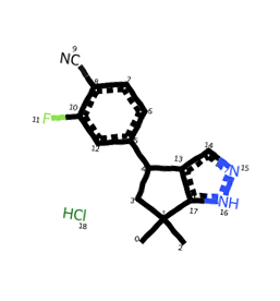 CC1(C)CC(c2ccc(C#N)c(F)c2)c2cn[nH]c21.Cl